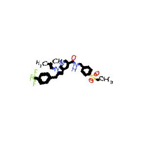 C=C(C)Cn1c(Cc2ccc(C(F)(F)F)cc2)cc2cc(C(=O)NCc3ccc(S(=O)(=O)CC)cc3)cnc21